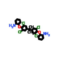 CC(C)(c1cc(Cl)c(Oc2ccccc2N)c(Cl)c1)c1cc(Cl)c(Oc2ccccc2N)c(Cl)c1